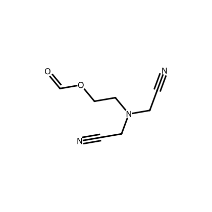 N#CCN(CC#N)CCOC=O